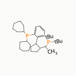 CC(C1CCCC1c1ccccc1P(C1CCCCC1)C1CCCCC1)P(C(C)(C)C)C(C)(C)C